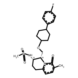 Cc1ccc2n(c1=O)[C@@H](COC1CCC(c3ccc(F)cc3)CC1)[C@@H](NS(C)(=O)=O)CC2